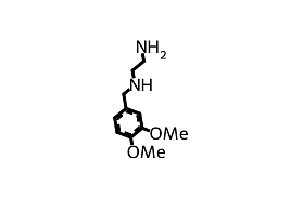 COc1ccc(CNCCN)cc1OC